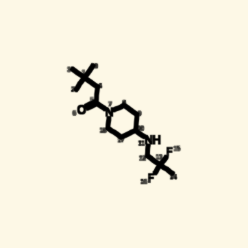 CC(C)(C)CC(=O)N1CCC(NCC(C)(F)F)CC1